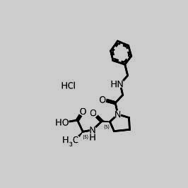 C[C@H](NC(=O)[C@@H]1CCCN1C(=O)CNCc1ccccc1)C(=O)O.Cl